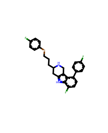 Fc1ccc(SCCCC2Cc3[nH]c4c(F)ccc(-c5ccc(F)cc5)c4c3CN2)cc1